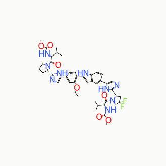 CCOc1cc(-c2cnc([C@@H]3CCCN3C(=O)[C@@H](NC(=O)OC)C(C)C)[nH]2)ccc1-c1cc2cc(-c3cnc(C4CC(F)(F)CN4C(=O)[C@@H](NC(=O)OC)C(C)C)[nH]3)ccc2[nH]1